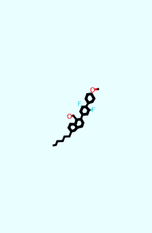 CCCCCCc1ccc2c(C=O)c(-c3cc(F)c(-c4ccc(OC)cc4)c(F)c3)ccc2c1